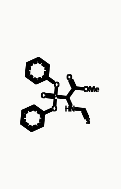 COC(=O)C(NC=S)P(=O)(Oc1ccccc1)Oc1ccccc1